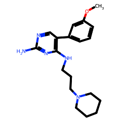 COc1cccc(-c2cnc(N)nc2NCCCN2CCCCC2)c1